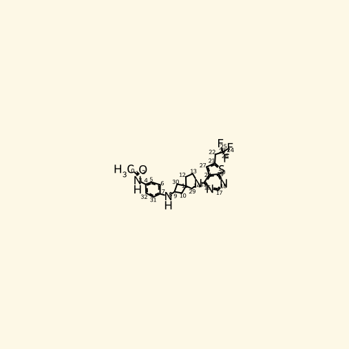 CC(=O)Nc1ccc(NC2CC3(CCN(c4ncnc5sc(CC(F)(F)F)cc45)C3)C2)cc1